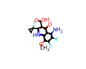 COc1c(F)c(F)c(N)c2c(=O)c(C(=O)O)c(C3(F)CC3)[nH]c12